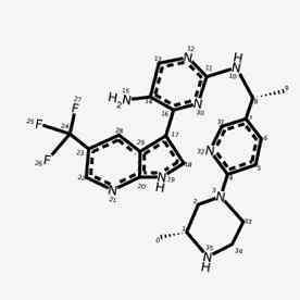 C[C@@H]1CN(c2ccc([C@@H](C)Nc3ncc(N)c(-c4c[nH]c5ncc(C(F)(F)F)cc45)n3)cn2)CCN1